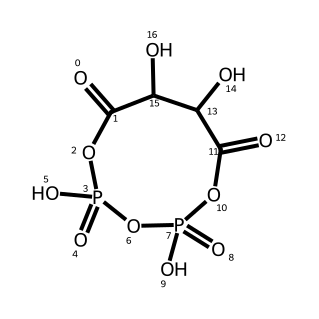 O=C1OP(=O)(O)OP(=O)(O)OC(=O)C(O)C1O